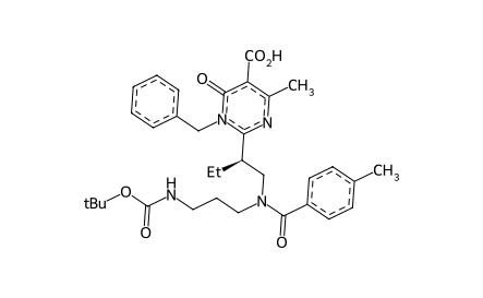 CC[C@H](CN(CCCNC(=O)OC(C)(C)C)C(=O)c1ccc(C)cc1)c1nc(C)c(C(=O)O)c(=O)n1Cc1ccccc1